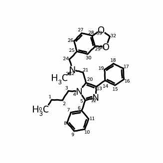 CCCCn1c(-c2ccccc2)nc(-c2ccccc2)c1CN(C)Cc1ccc2c(c1)OCO2